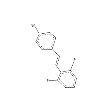 Fc1cccc(F)c1/C=C/c1ccc(Br)cc1